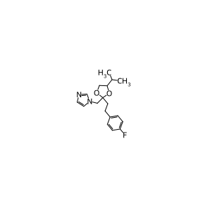 CC(C)C1COC(CCc2ccc(F)cc2)(Cn2ccnc2)O1